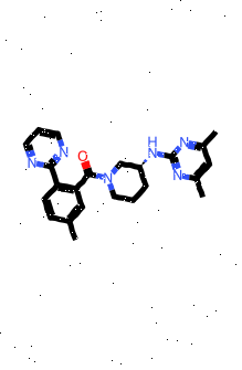 Cc1ccc(-c2ncccn2)c(C(=O)N2CCC[C@@H](Nc3nc(C)cc(C)n3)C2)c1